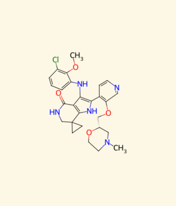 COc1c(Cl)cccc1Nc1c(-c2ccncc2OC[C@@H]2CN(C)CCO2)[nH]c2c1C(=O)NCC21CC1